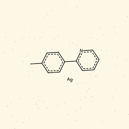 Cc1ccc(-c2ccccn2)cc1.[Ag]